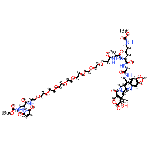 CC[C@@]1(O)C(=O)OCc2c1cc1n(c2=O)Cc2c-1nc1cc3c(cc1c2CNC(=O)CNC(=O)[C@H](CCCCNC(=O)OC(C)(C)C)NC(=O)[C@@H](NC(=O)CCOCCOCCOCCOCCOCCOCCOCCOCCNC(=O)[C@H](CNC(=O)OC(C)(C)C)N1C(=O)C=CC1=O)C(C)C)OCO3